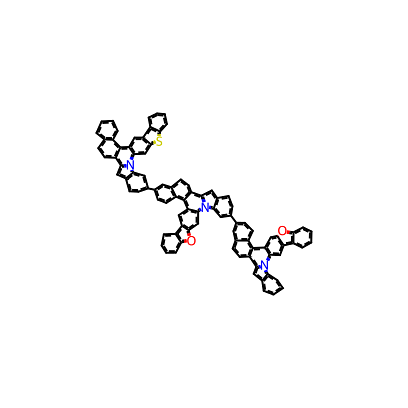 c1ccc2c(c1)ccc1c2c2cc3c(cc2n2c4cc(-c5ccc6c(ccc7c6c6cc8c(cc6n6c9cc(-c%10ccc%11c(ccc%12c%11c%11cc%13oc%14ccccc%14c%13cc%11n%11c%13ccccc%13cc%12%11)c%10)ccc9cc76)oc6ccccc68)c5)ccc4cc12)sc1ccccc13